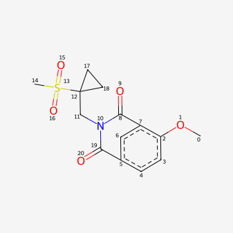 COc1ccc2cc1C(=O)N(CC1(S(C)(=O)=O)CC1)C2=O